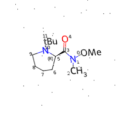 CON(C)C(=O)[C@H]1CCCCN1C(C)(C)C